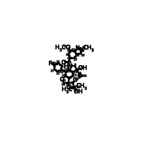 COc1cc(C(=O)NC[C@](O)(c2cc3c(c(-c4ccc(F)cc4)n2)OC[C@]3(C)C(=O)C(C)(C)O)C2CC2)cc2cn(C)nc12